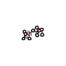 c1ccc(-c2cccc(-c3cccc(-c4ccc(-c5nc(-c6ccccc6)nc(-c6ccccc6-n6c7ccccc7c7ccccc76)n5)cc4-n4c5ccccc5c5ccccc54)c3)c2)cc1